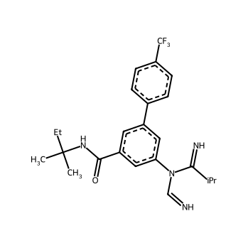 CCC(C)(C)NC(=O)c1cc(-c2ccc(C(F)(F)F)cc2)cc(N(C=N)C(=N)C(C)C)c1